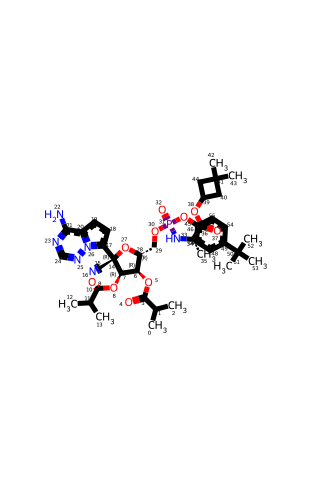 CC(C)C(=O)O[C@H]1[C@@H](OC(=O)C(C)C)[C@](C#N)(c2ccc3c(N)ncnn23)O[C@@H]1COP(=O)(N[C@@H](C)C(=O)OC1CC(C)(C)C1)Oc1ccc(C(C)(C)C)cc1